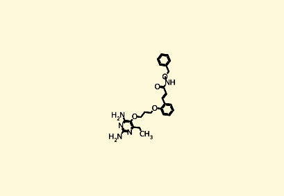 CCc1nc(N)nc(N)c1OCCCOc1ccccc1/C=C/C(=O)NOCc1ccccc1